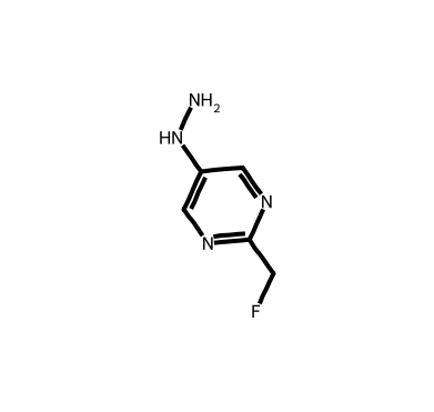 NNc1cnc(CF)nc1